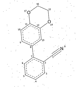 N#Cc1ccccc1-c1ccc2c(c1)OCCO2